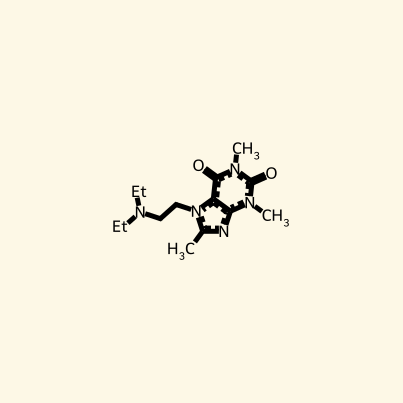 CCN(CC)CCn1c(C)nc2c1c(=O)n(C)c(=O)n2C